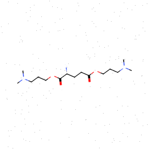 CN(C)CCCOC(=O)CC[C@H](N)C(=O)OCCCN(C)C